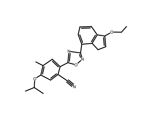 CCOC1=CCc2c1cccc2-c1noc(-c2cc(C)c(OC(C)C)cc2C#N)n1